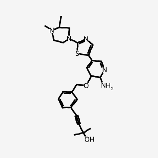 CC1CN(c2ncc(C3=CC(OCc4cccc(C#CC(C)(C)O)c4)C(N)N=C3)s2)CCN1C